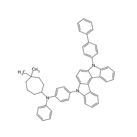 CC1(C)CCCC(N(c2ccccc2)c2ccc(-n3c4ccccc4c4c5c6ccccc6n(-c6ccc(-c7ccccc7)cc6)c5ccc43)cc2)CC1